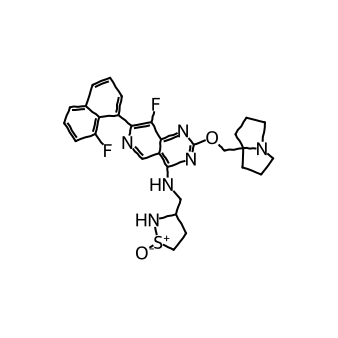 [O-][S+]1CCC(CNc2nc(OCC34CCCN3CCC4)nc3c(F)c(-c4cccc5cccc(F)c45)ncc23)N1